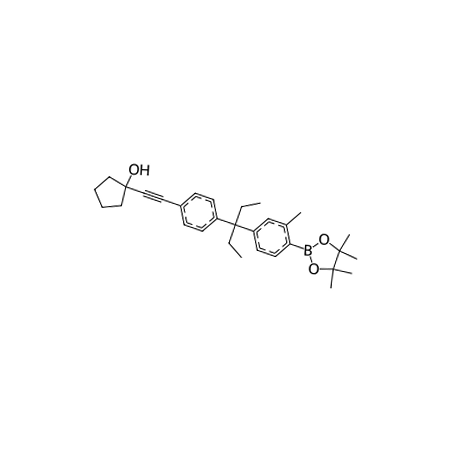 CCC(CC)(c1ccc(C#CC2(O)CCCC2)cc1)c1ccc(B2OC(C)(C)C(C)(C)O2)c(C)c1